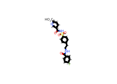 O=C(NCCc1ccc(S(=O)(=O)NC(=O)c2ccc(C(=O)O)nc2)cc1)c1ccc(F)cc1